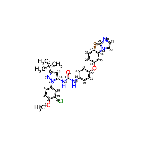 COc1ccc(-n2nc(C(C)(C)C)cc2NC(=O)Nc2ccc(Oc3ccc4sc5nccn5c4c3)cc2)cc1Cl